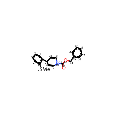 CSc1ccccc1C1C=CN(C(=O)OCc2ccccc2)C=C1